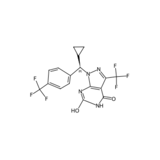 O=c1[nH]c(O)nc2c1c(C(F)(F)F)nn2[C@@H](c1ccc(C(F)(F)F)cc1)C1CC1